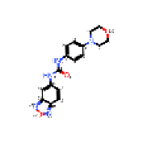 O=C(Nc1ccc(N2CCOCC2)cc1)Nc1ccc2nonc2c1